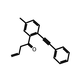 C=CCC(=O)c1cc(C)ccc1C#Cc1ccccc1